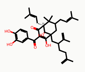 C=C(C)CCC(CC12CC(CC=C(C)C)C(C)(C)[C@](CC=C(C)C)(C(=O)C(C(=O)c3ccc(O)c(O)c3)=C1O)C2O)C(=C)C